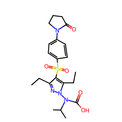 CCc1nn(N(C(=O)O)C(C)C)c(CC)c1S(=O)(=O)c1ccc(N2CCCC2=O)cc1